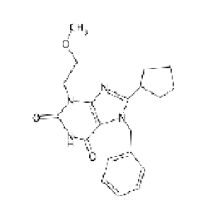 COCCn1c(=O)[nH]c(=O)c2c1nc(C1CCCC1)n2Cc1ccccc1